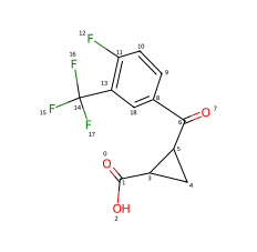 O=C(O)C1CC1C(=O)c1ccc(F)c(C(F)(F)F)c1